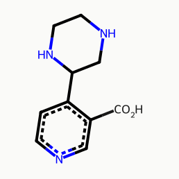 O=C(O)c1cnccc1C1CNCCN1